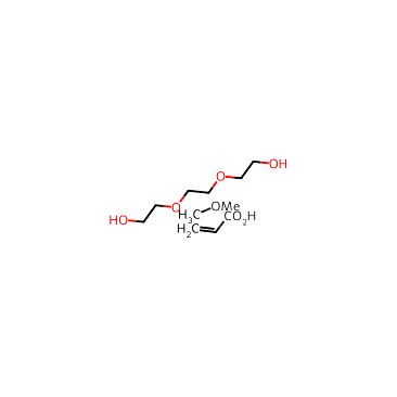 C=CC(=O)O.COC.OCCOCCOCCO